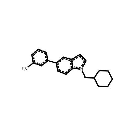 FC(F)(F)c1cccc(-c2ccc3c([c]cn3CC3CCCCC3)c2)c1